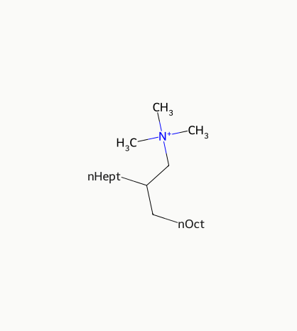 CCCCCCCCCC(CCCCCCC)C[N+](C)(C)C